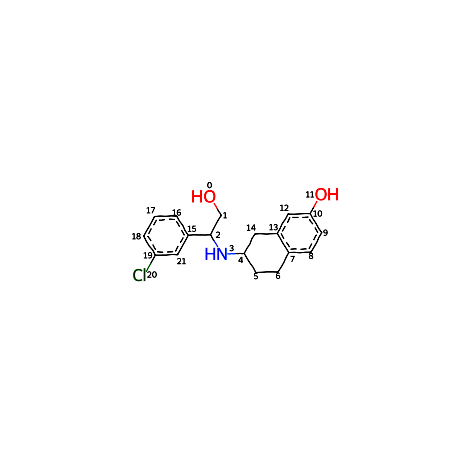 OCC(NC1CCc2ccc(O)cc2C1)c1cccc(Cl)c1